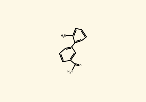 NC(=O)c1cccc(-c2ccccc2N)c1